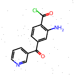 Nc1cc(C(=O)c2cccnc2)ccc1C(=O)Cl